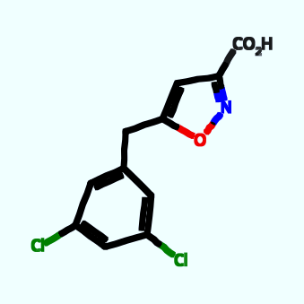 O=C(O)c1cc(Cc2cc(Cl)cc(Cl)c2)on1